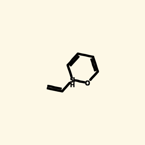 C=C[SiH]1C=CC=CO1